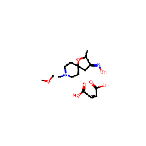 CC1OC2(CCN(C)CC2)C/C1=N\O.COC.O=C(O)/C=C\C(=O)O